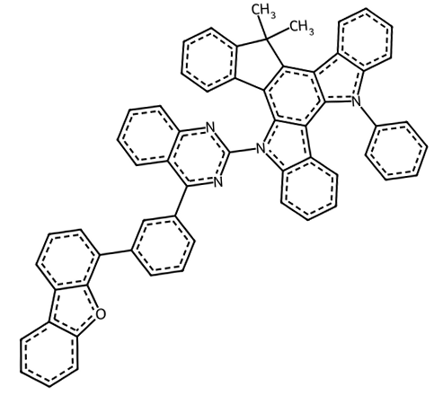 CC1(C)c2ccccc2-c2c1c1c3ccccc3n(-c3ccccc3)c1c1c3ccccc3n(-c3nc(-c4cccc(-c5cccc6c5oc5ccccc56)c4)c4ccccc4n3)c21